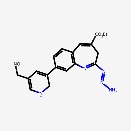 CCOC(=O)C1=Cc2ccc(C3=CC(CN=O)=CNC3)cc2N=C(N=NN)C1